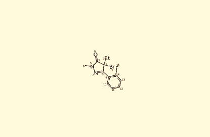 CCC1(Br)C(=O)N(C)N=C1c1ccccc1F